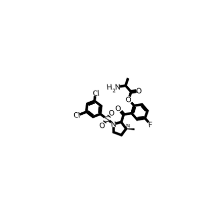 CC(N)C(=O)Oc1ccc(F)cc1C(=O)C1[C@@H](C)CCN1S(=O)(=O)c1cc(Cl)cc(Cl)c1